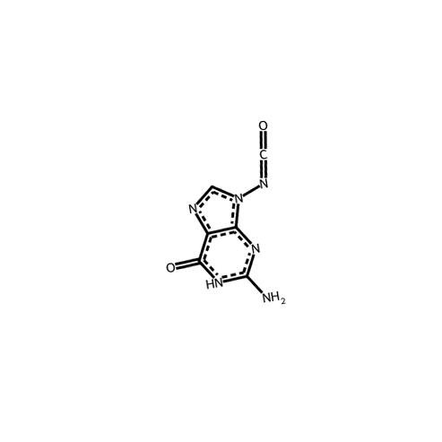 Nc1nc2c(ncn2N=C=O)c(=O)[nH]1